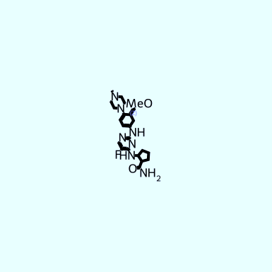 CO/C=C1/CC(Nc2ncc(F)c(NC3CCCC3C(N)=O)n2)=CC=C1N1CCN(C)CC1